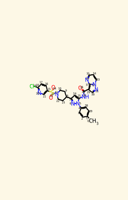 Cc1ccc(-n2nc(C3CCN(S(=O)(=O)c4ccc(Cl)nc4)CC3)cc2NC(=O)c2cnn3cccnc23)cc1